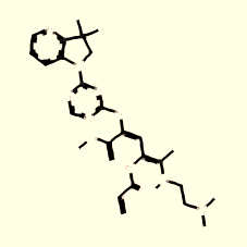 C=CC(=O)NC(/C=C(/Nc1ncnc(N2CC(C)(C)c3ncccc32)n1)C(=C)OC)=C(/C)N(C)CCN(C)C